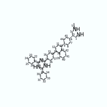 N=C/C(=C\NI)c1ccc(-c2ccc(-c3ccc(C4N=C(c5ccccc5)NC(c5ccccc5)N4)cc3)c3ccccc23)cc1